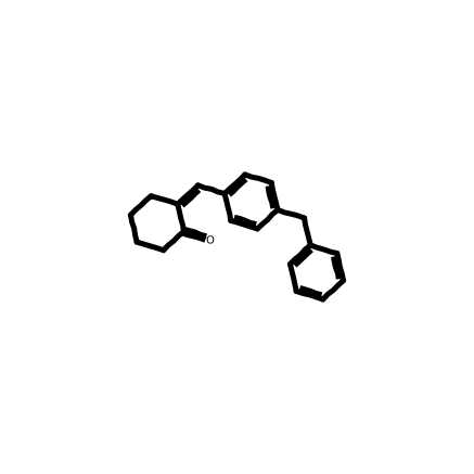 O=C1CCCCC1=Cc1ccc(Cc2ccccc2)cc1